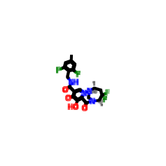 Cc1cc(F)c(CNC(=O)c2cn3c(c(O)c2=O)C(=O)N2CN3[C@H](C)CC(F)(F)[C@@H]2C)c(F)c1